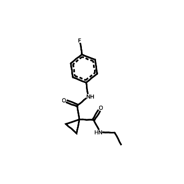 CCNC(=O)C1(C(=O)Nc2ccc(F)cc2)CC1